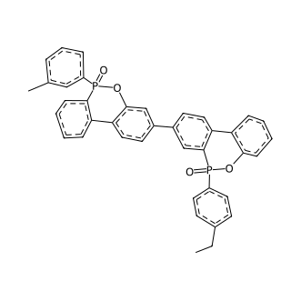 CCc1ccc(P2(=O)Oc3ccccc3-c3ccc(-c4ccc5c(c4)OP(=O)(c4cccc(C)c4)c4ccccc4-5)cc32)cc1